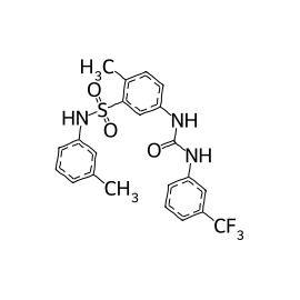 Cc1cccc(NS(=O)(=O)c2cc(NC(=O)Nc3cccc(C(F)(F)F)c3)ccc2C)c1